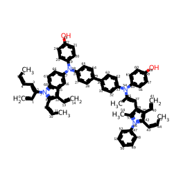 C=C/C(=C\C=C/C)n1c(/C=C\C)c(C=C)c2cc(N(c3ccc(O)cc3)c3ccc(-c4ccc(N(/C(C)=C/c5c(C=C)c(/C=C\C)n(-c6ccccc6)c5C)c5ccc(O)cc5)cc4)cc3)ccc21